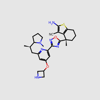 C[C@H](Cc1cc(OC2CNC2)cc(-c2noc([C@@]3(C)CCCc4sc(N)c(C#N)c43)n2)n1)C1CCCN1C